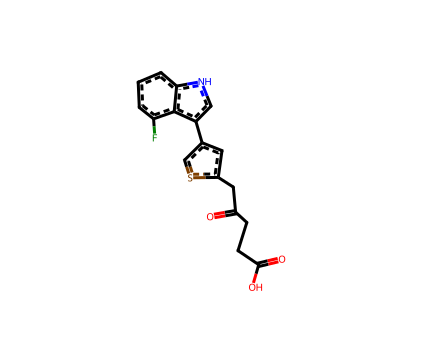 O=C(O)CCC(=O)Cc1cc(-c2c[nH]c3cccc(F)c23)cs1